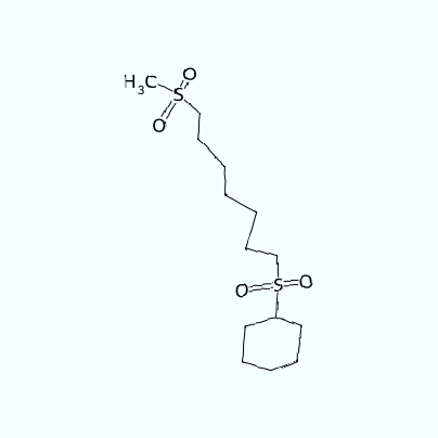 CS(=O)(=O)CCCCCCCS(=O)(=O)C1CCCCC1